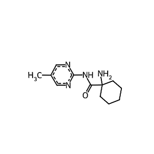 Cc1cnc(NC(=O)C2(N)CCCCC2)nc1